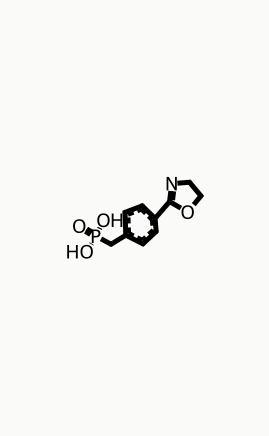 O=P(O)(O)Cc1ccc(C2=NCCO2)cc1